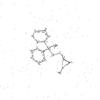 CC(C)(C)[Si](OCC1CC1O)(c1ccccc1)c1ccccc1